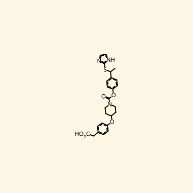 CC(Sc1ncc[nH]1)c1ccc(OC(=O)N2CCC(Oc3ccc(CC(=O)O)cc3)CC2)cc1